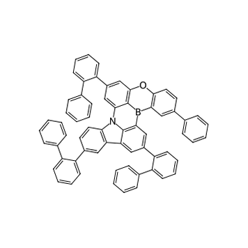 c1ccc(-c2ccc3c(c2)B2c4c(cc(-c5ccccc5-c5ccccc5)cc4-n4c5ccc(-c6ccccc6-c6ccccc6)cc5c5cc(-c6ccccc6-c6ccccc6)cc2c54)O3)cc1